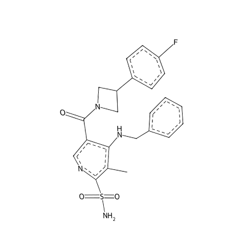 Cc1c(S(N)(=O)=O)ncc(C(=O)N2CC(c3ccc(F)cc3)C2)c1NCc1ccccc1